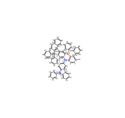 Cc1ccc(N(c2ccc3c(c2)c2ccccc2n3-c2ccccc2)c2cc3c(c4c2oc2ccccc24)-c2c(ccc4ccccc24)C3(c2ccccc2)c2ccccc2)cc1-c1ccccc1